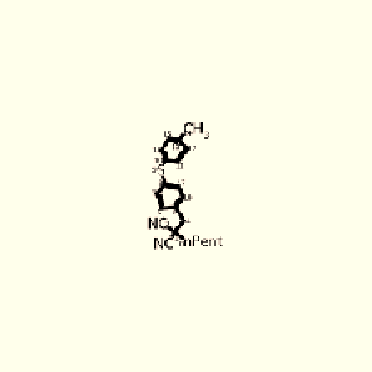 CCCCCC(C#N)(C#N)Cc1ccc(Sc2ccc(C)cc2)cc1